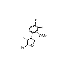 COc1c([C@@H]2CO[C@@H](C(C)C)[C@@H]2C)ccc(F)c1F